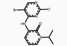 CC(C)n1cccc(Nc2nc(Cl)ncc2Br)c1=O